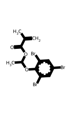 C=C(C)C(=O)OC(C)Oc1c(Br)cc(Br)cc1Br